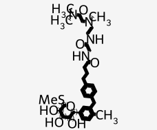 CS[C@H]1O[C@@H](c2ccc(C)c(Cc3ccc(CCCC(=O)NCC(=O)NCCN(C)CC(=O)N(C)C)cc3)c2)[C@H](O)[C@@H](O)[C@@H]1O